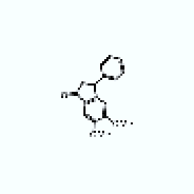 COc1cc2c(cc1OC)C(c1ccccc1)CC2=O